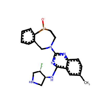 Cc1ccc2nc(N3CC[S+]([O-])c4ccccc4C3)nc(N[C@H]3CNC[C@@H]3F)c2c1